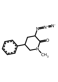 CN1CC(c2ccccc2)CC(N=[N+]=[N-])C1=O